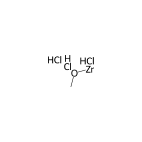 C[O][Zr].Cl.Cl.Cl